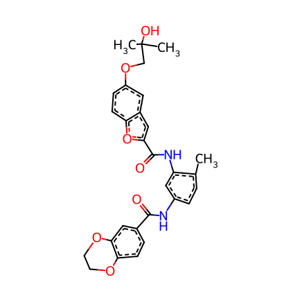 Cc1ccc(NC(=O)c2ccc3c(c2)OCCO3)cc1NC(=O)c1cc2cc(OCC(C)(C)O)ccc2o1